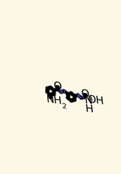 Nc1cccc(C(=O)/C=C/c2cccc(/C=C/C(=O)NO)c2)c1